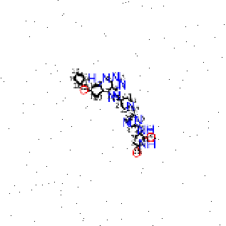 Nc1ncnc2c1c(-c1ccc(Oc3ccccc3)cc1)nn2C1CCN(Cc2cncc(NC3CCC(=O)NC3=O)n2)CC1